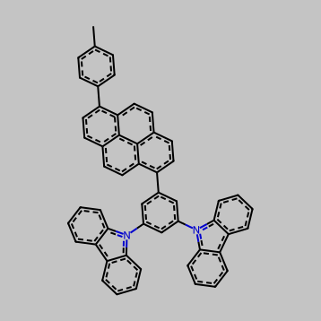 Cc1ccc(-c2ccc3ccc4c(-c5cc(-n6c7ccccc7c7ccccc76)cc(-n6c7ccccc7c7ccccc76)c5)ccc5ccc2c3c54)cc1